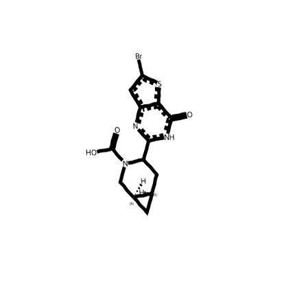 O=C(O)N1C[C@@H]2C[C@@H]2CC1c1nc2cc(Br)sc2c(=O)[nH]1